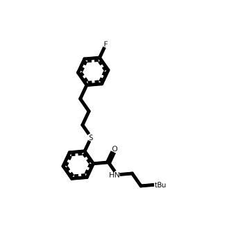 CC(C)(C)CCNC(=O)c1ccccc1SCCCc1ccc(F)cc1